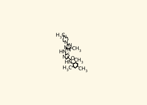 Cc1cc(C)c(NC(=O)c2cnc(Nc3nc(C)nc(N4CCN(C)CC4)n3)s2)c(C)c1